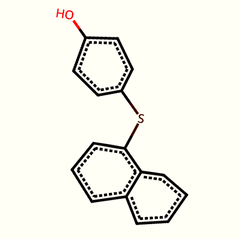 Oc1ccc(Sc2cccc3ccccc23)cc1